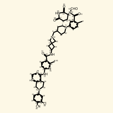 Cc1ccc(N2CCC(CN3CC4(CC(NC(=O)c5ccc(Nc6ncnc7c6CCN(c6ccc(C#N)c(Cl)c6)C7)nc5F)C4)C3)CC2)cc1C(=O)N(C=O)C1CCC(=O)NC1=O